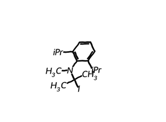 CC(C)c1cccc(C(C)C)c1N(C)C(C)(C)I